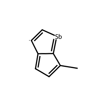 CC1=CC=C2[C]=[CH][Sb]=[C]12